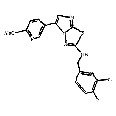 COc1ccc(-c2cnc3sc(NCc4ccc(F)c(Cl)c4)nn23)cn1